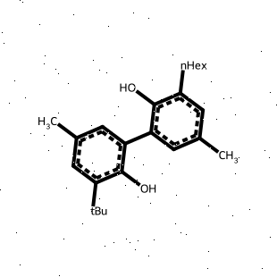 CCCCCCc1cc(C)cc(-c2cc(C)cc(C(C)(C)C)c2O)c1O